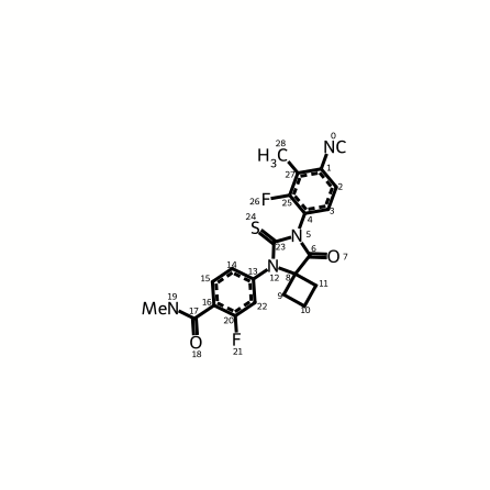 [C-]#[N+]c1ccc(N2C(=O)C3(CCC3)N(c3ccc(C(=O)NC)c(F)c3)C2=S)c(F)c1C